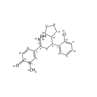 Cn1cc(/C(CC(c2ccccc2Cl)C2CCCC2)=N/O)ccc1=O